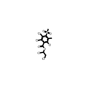 Cc1c(Cl)c(C(=O)OC(Cl)CCl)c(Cl)c(Cl)c1S(C)(=O)=O